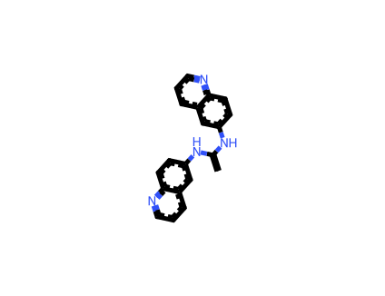 C=C(Nc1ccc2ncccc2c1)Nc1ccc2ncccc2c1